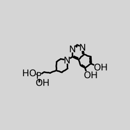 Oc1cc2ncnc(N3CCC(CCP(O)O)CC3)c2cc1O